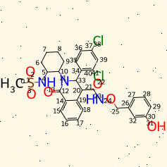 CS(=O)(=O)NC1CCCCC1N1C(=O)c2ccccc2C(C(=O)NOCc2cccc(O)c2)C1c1ccc(Cl)cc1Cl